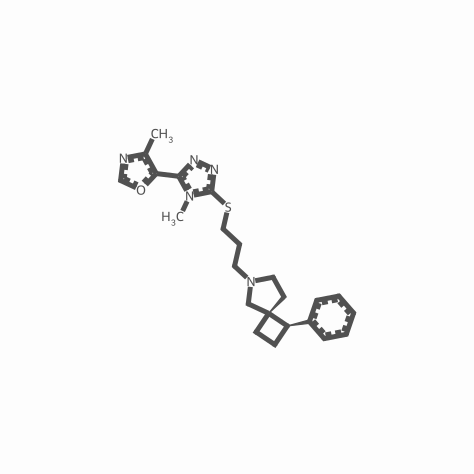 Cc1ncoc1-c1nnc(SCCCN2CC[C@@]3(CC[C@@H]3c3ccccc3)C2)n1C